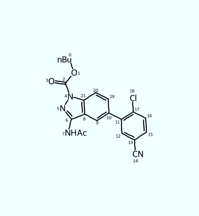 CCCCOC(=O)n1nc(NC(C)=O)c2cc(-c3cc(C#N)ccc3Cl)ccc21